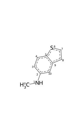 CNc1ccc2sccc2c1